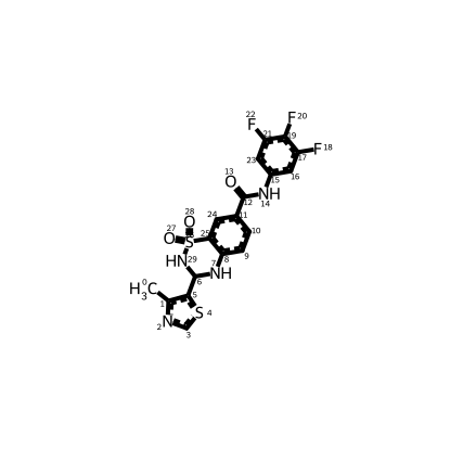 Cc1ncsc1C1Nc2ccc(C(=O)Nc3cc(F)c(F)c(F)c3)cc2S(=O)(=O)N1